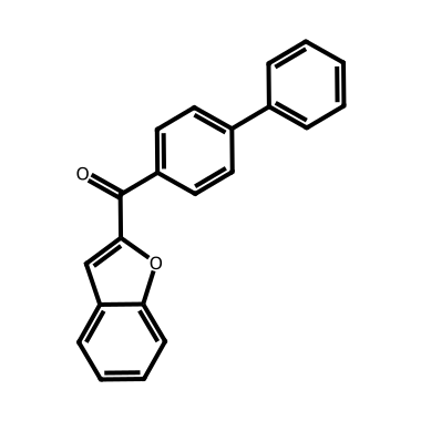 O=C(c1ccc(-c2ccccc2)cc1)c1cc2ccccc2o1